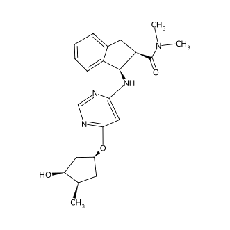 C[C@@H]1C[C@H](Oc2cc(N[C@H]3c4ccccc4C[C@H]3C(=O)N(C)C)ncn2)C[C@@H]1O